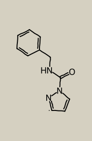 O=C(NCc1ccccc1)n1cc[c]n1